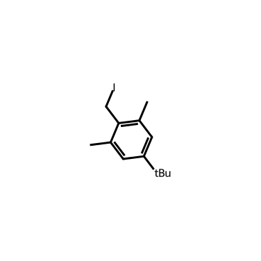 Cc1cc(C(C)(C)C)cc(C)c1CI